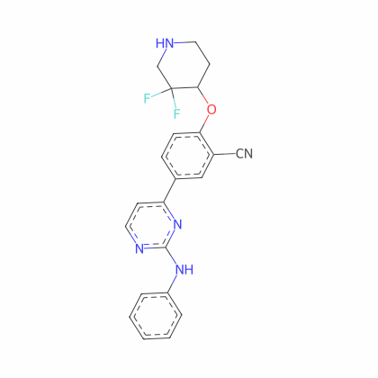 N#Cc1cc(-c2ccnc(Nc3ccccc3)n2)ccc1OC1CCNCC1(F)F